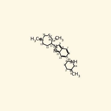 C[C@H]1CC[C@H](c2ccc3cn(C4CCN(C)CS[C@@H]4C)nc3c2)NC1